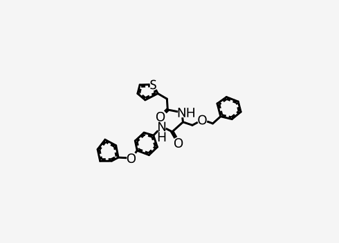 O=C(Cc1cccs1)NC(COCc1ccccc1)C(=O)Nc1ccc(Oc2ccccc2)cc1